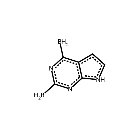 Bc1nc(B)c2cc[nH]c2n1